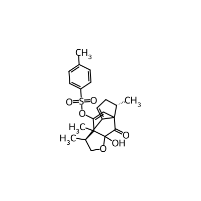 Cc1ccc(S(=O)(=O)OC2=CC34C(=O)C5(O)OCC(C)(C3=CC[C@@H]4C)C25C)cc1